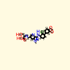 Cn1nc(Nc2cccc(-c3ccc4c(c3)OCO4)c2Cl)c2ncc(C=N[C@@H](CO)C(=O)O)cc21